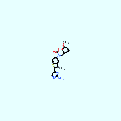 COc1cccc(CN(C(=O)O)c2ccc3sc(-c4ccnc(N)n4)c(C)c3c2)c1